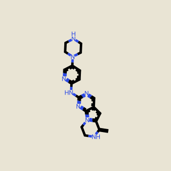 C=C1NCCn2c1cc1cnc(Nc3ccc(N4CCNCC4)cn3)nc12